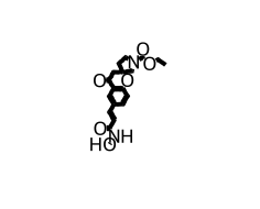 CCOC(=O)N1CCC2(CC(=O)c3cc(/C=C/C(=O)NO)ccc3O2)C1